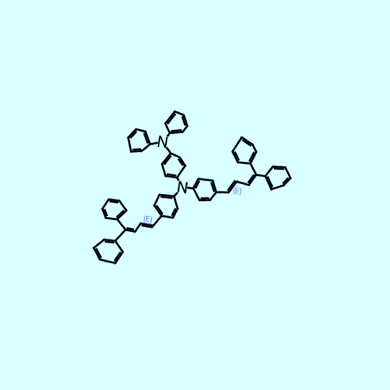 C(/C=C/c1ccc(N(c2ccc(/C=C/C=C(c3ccccc3)c3ccccc3)cc2)c2ccc(N(c3ccccc3)c3ccccc3)cc2)cc1)=C(c1ccccc1)c1ccccc1